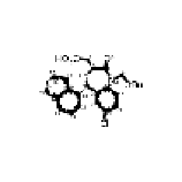 CC(C)(C)CN1C(=O)[C@H](CC(=O)O)S[C@@H](c2cccc3ccccc23)c2cc(Cl)ccc21